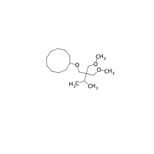 COCC(COC)(COC1CCCCCCCCC1)C(C)C